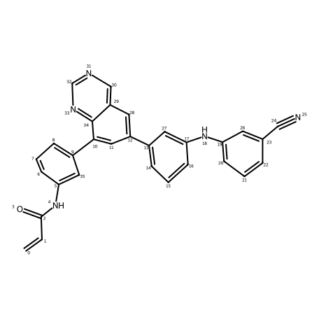 C=CC(=O)Nc1cccc(-c2cc(-c3cccc(Nc4cccc(C#N)c4)c3)cc3cncnc23)c1